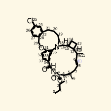 CCCC[C@H]1[C@H](C)C/C=C/[C@H](C)[C@@H]2CC[C@H]2CN2CCCCc3cc(Cl)ccc3COc3ccc(cc32)C(=O)NS1(=O)=O